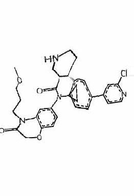 COCCCN1C(=O)COc2ccc(N(C(=O)[C@H]3CNCC[C@@H]3c3cccc(-c4ccnc(Cl)c4)c3)C3CC3)cc21